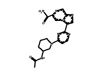 CC(=O)NC1CCCN(c2ccnc(-c3cnc4cnc(C(N)=O)cn34)n2)C1